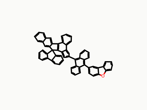 c1ccc2c(c1)-c1ccccc1C21c2cc3ccccc3cc2-c2c1c1ccc(-c3c4ccccc4c(-c4ccc5oc6ccccc6c5c4)c4ccccc34)cc1c1ccccc21